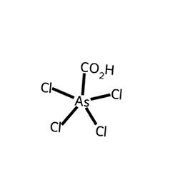 O=C(O)[As](Cl)(Cl)(Cl)Cl